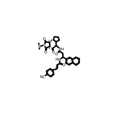 C[C@@H]1C(=O)N(N(C)C)C(=O)[C@H]1C(=O)C(NC(=O)CC(NC(=O)/C=C/c1ccc(C#N)cc1)c1ccc2ccccc2c1)C1CCCC1